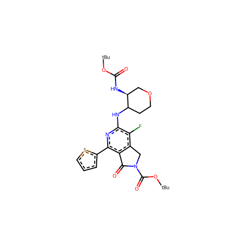 CC(C)(C)OC(=O)N[C@H]1COCCC1Nc1nc(-c2cccs2)c2c(c1F)CN(C(=O)OC(C)(C)C)C2=O